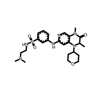 CC1C(=O)N(C)c2cnc(Nc3cccc(S(=O)(=O)NCCN(C)C)c3)cc2N1C1CCOCC1